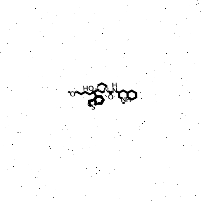 CNCC(CC1CCCCC1)NC(=O)N1CCC[C@@H]([C@@](O)(CCCCOC)c2cccc3sccc23)C1